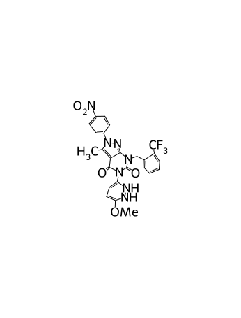 COC1=CC=C(n2c(=O)c3c(C)n(-c4ccc([N+](=O)[O-])cc4)nc3n(Cc3ccccc3C(F)(F)F)c2=O)NN1